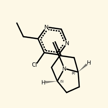 C=C1C[C@H]2CC[C@@H](C1)N2c1ncnc(CC)c1Cl